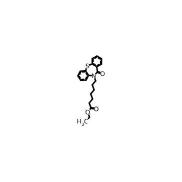 CCOC(=O)CCCCCCN1C(=O)c2ccccc2Sc2ccccc21